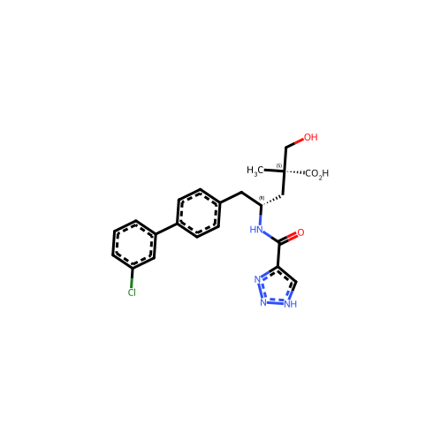 C[C@@](CO)(C[C@@H](Cc1ccc(-c2cccc(Cl)c2)cc1)NC(=O)c1c[nH]nn1)C(=O)O